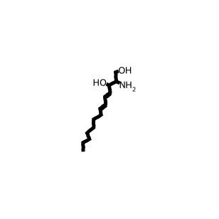 CCCCCCCC=CC=CC(O)C(N)CO